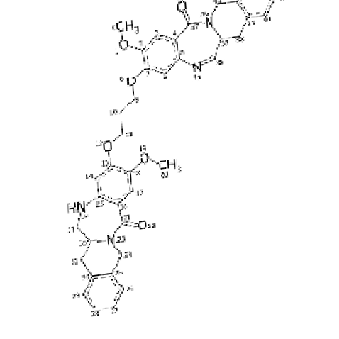 COc1cc2c(cc1OCCCOc1cc3c(cc1OC)C(=O)N1Cc4ccccc4CC1CN3)N=CC1Cc3ccccc3CN1C2=O